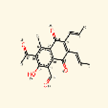 C/C=C/C1=C(/C=C/C)C(=O)c2c(C=O)c(O)c(C(C)=O)c(C)c2C1=O